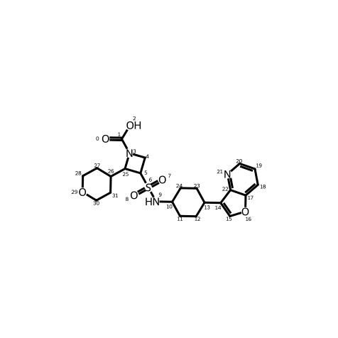 O=C(O)N1CC(S(=O)(=O)NC2CCC(c3coc4cccnc34)CC2)C1C1CCOCC1